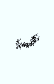 Cc1cc(C(=O)N2CCC(C)(O)CC2)cc(C)c1C=CS(=O)(=O)N1CCC2(CC1)N=C(c1ccc(Cl)c(OC(C)(C)C(F)(F)F)c1)NC2=O